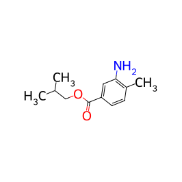 Cc1ccc(C(=O)OCC(C)C)cc1N